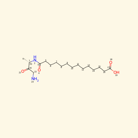 C[C@H](NC(=O)CCCCCCCCCCCCC(=O)O)C(=O)CN